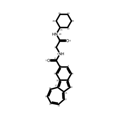 O=C(CNC(=O)c1ccc2cc3cccccc-3c2c1)NC1CCCCC1